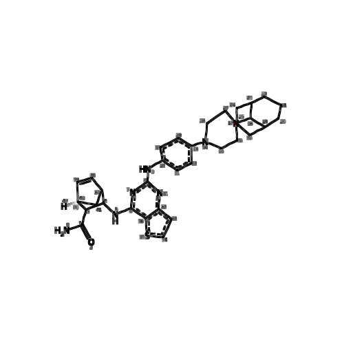 NC(=O)C1C(Nc2nc(Nc3ccc(N4CCN(C5C6CCCC5CCC6)CC4)cc3)nc3ccsc23)C2C=C[C@H]1C2